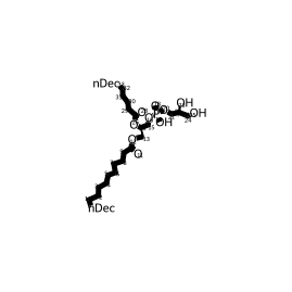 CCCCCCCCCCCCCCCCCCCC(=O)OC[C@H](COP(=O)(O)OC[C@@H](O)CO)OC(=O)CCCCCCCCCCCCCC